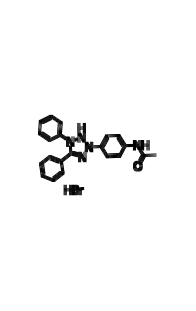 Br.CC(=O)Nc1ccc(N2N=C(c3ccccc3)N(c3ccccc3)N2)cc1